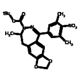 Cc1cc(C2=NN(C(=O)OC(C)(C)C)C(C)Cc3cc4c(cc32)OCO4)cc(C)c1[N+](=O)[O-]